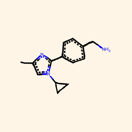 Cc1cn(C2CC2)c(-c2ccc(CN)cc2)n1